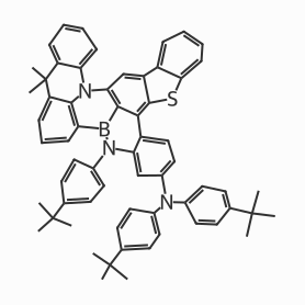 CC(C)(C)c1ccc(N2B3c4cccc5c4N(c4ccccc4C5(C)C)c4cc5c(sc6ccccc65)c(c43)-c3ccc(N(c4ccc(C(C)(C)C)cc4)c4ccc(C(C)(C)C)cc4)cc32)cc1